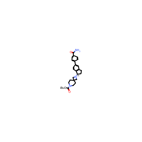 CC(C)COC(=O)N1CCC2(CC1)CN([C@@H]1CCc3cc(-c4ccc(C(N)=O)cc4)ccc31)C2